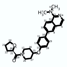 CN(C)c1nccc2cc(-c3ccc(OC4CCN(C(=O)[C@H]5CCCO5)CC4)cc3)ccc12